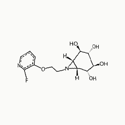 O[C@@H]1[C@@H](O)[C@H](O)[C@H]2[C@@H]([C@H]1O)N2CCOc1cccnc1F